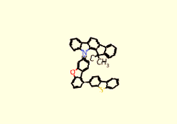 CC1(C)c2ccccc2-c2ccc3c4ccccc4n(-c4ccc5c(c4)oc4cccc(-c6ccc7c(c6)sc6ccccc67)c45)c3c21